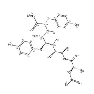 CCC(=O)O[C@@H](C(=O)N[C@@H](C(=O)N(C)[C@@H](Cc1ccc(O)cc1)C(=O)N(C)[C@@H](Cc1ccc(O)cc1)C(=O)OC)C(C)C)[C@@H](C)CC